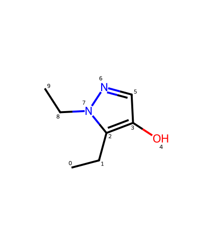 CCc1c(O)cnn1CC